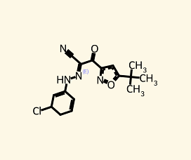 CC(C)(C)c1cc(C(=O)/C(C#N)=N/NC2=CC(Cl)CC=C2)no1